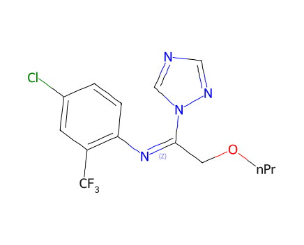 CCCOC/C(=N/c1ccc(Cl)cc1C(F)(F)F)n1cncn1